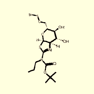 CCCN(C(=O)OC(C)(C)C)C1=N[C@@H]2[C@@H](O)[C@H](O)[C@@H](COSBr)O[C@@H]2S1